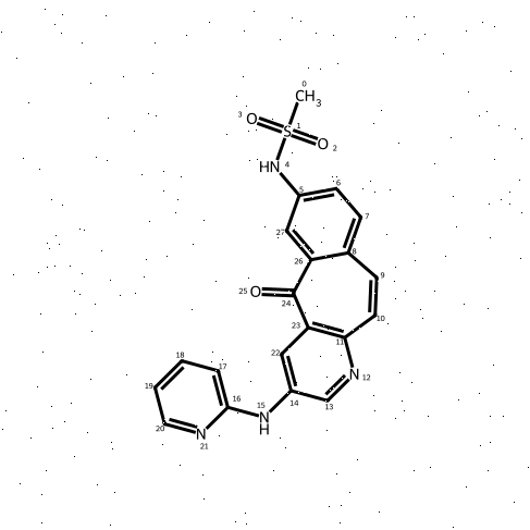 CS(=O)(=O)Nc1ccc2ccc3ncc(Nc4ccccn4)cc3c(=O)c2c1